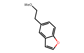 COCCc1ccc2occc2c1